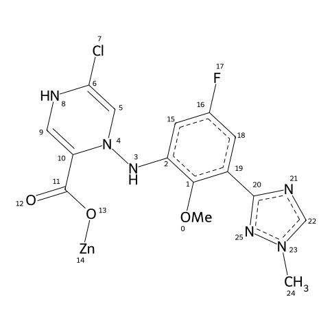 COc1c(NN2C=C(Cl)NC=C2C(=O)[O][Zn])cc(F)cc1-c1ncn(C)n1